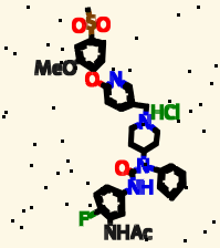 COc1cc(S(C)(=O)=O)ccc1Oc1ccc(CN2CCC(N(C(=O)Nc3ccc(F)c(NC(C)=O)c3)c3ccccc3)CC2)cn1.Cl